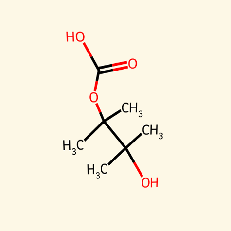 CC(C)(O)C(C)(C)OC(=O)O